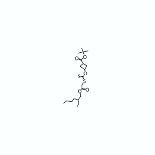 CCCCC(CC)COC(=O)CSC(=S)O[C@H]1C[C@@H](C(=O)OC(C)(C)C)C1